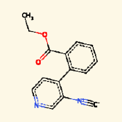 [C-]#[N+]c1cnccc1-c1ccccc1C(=O)OCC